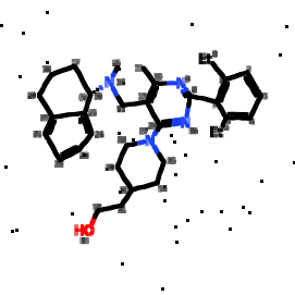 CCc1cccc(CC)c1-c1nc(C)c(CN(C)[C@H]2CCCc3ccccc32)c(N2CCC(CCO)CC2)n1